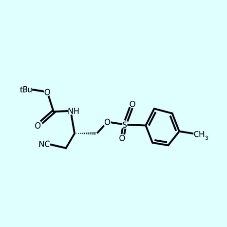 Cc1ccc(S(=O)(=O)OC[C@H](CC#N)NC(=O)OC(C)(C)C)cc1